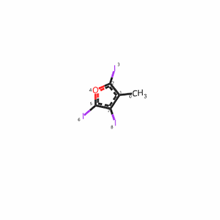 Cc1c(I)oc(I)c1I